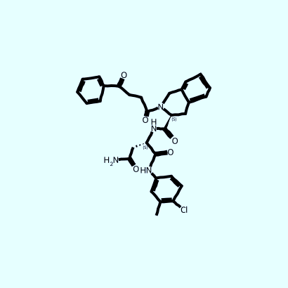 Cc1cc(NC(=O)[C@H](CC(N)=O)NC(=O)[C@@H]2Cc3ccccc3CN2C(=O)CCC(=O)c2ccccc2)ccc1Cl